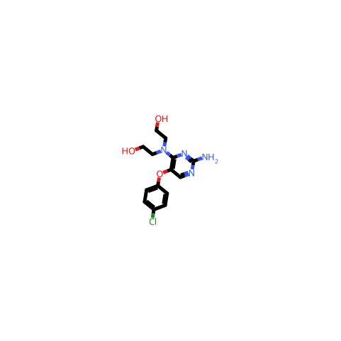 Nc1ncc(Oc2ccc(Cl)cc2)c(N(CCO)CCO)n1